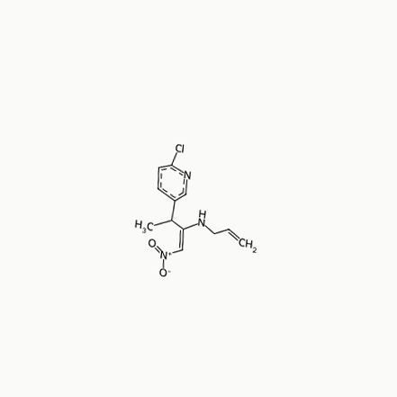 C=CCN/C(=C/[N+](=O)[O-])C(C)c1ccc(Cl)nc1